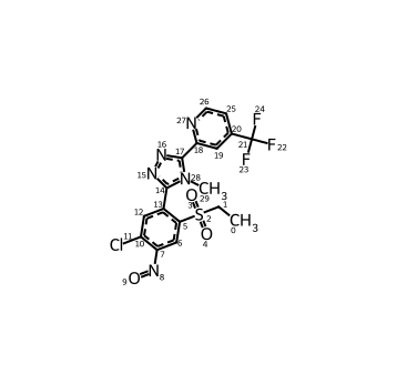 CCS(=O)(=O)c1cc(N=O)c(Cl)cc1-c1nnc(-c2cc(C(F)(F)F)ccn2)n1C